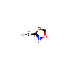 O=CC1=NOCS1